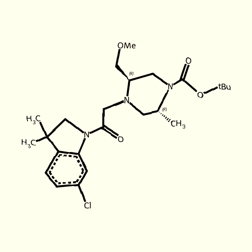 COC[C@H]1CN(C(=O)OC(C)(C)C)[C@H](C)CN1CC(=O)N1CC(C)(C)c2ccc(Cl)cc21